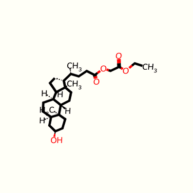 CCOC(=O)COC(=O)CC[C@@H](C)[C@H]1CC[C@H]2[C@@H]3CC[C@@H]4C[C@H](O)CC[C@]4(C)[C@H]3CC[C@]12C